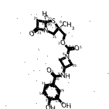 C[C@]1(COC(=O)N2CC(NC(=O)c3ccc(O)c(O)c3)C2)CN2C(=O)C[C@H]2S1